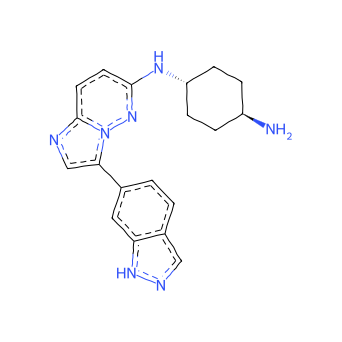 N[C@H]1CC[C@H](Nc2ccc3ncc(-c4ccc5cn[nH]c5c4)n3n2)CC1